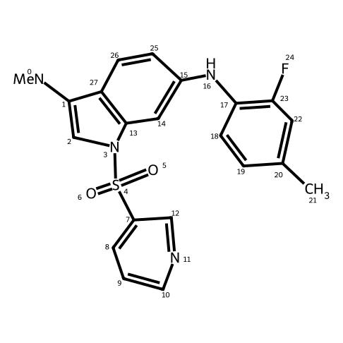 CNc1cn(S(=O)(=O)c2cccnc2)c2cc(Nc3ccc(C)cc3F)ccc12